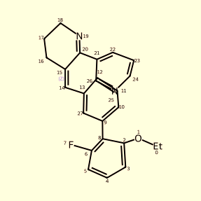 CCOc1cccc(F)c1-c1cccc(/C=C2/CCCN=C2c2cccnc2)c1